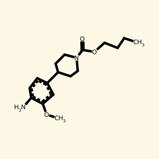 CCCCOC(=O)N1CCC(c2ccc(N)c(OC)c2)CC1